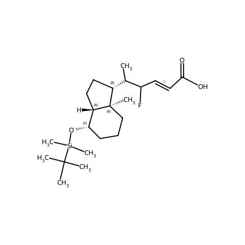 CC(C(F)/C=C/C(=O)O)[C@H]1CC[C@H]2[C@@H](O[Si](C)(C)C(C)(C)C)CCC[C@]12C